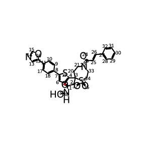 O=C(CC1(c2ccc(-c3ccc(-c4cnco4)cc3)s2)CCN(C(=O)C=Cc2ccccc2)CCS1(=O)=O)NO